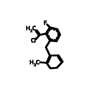 C=C(Cl)c1c(F)cccc1CC1=C(C)CCC=C1